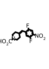 O=C(O)N1CCC(=Cc2cc(F)c([N+](=O)[O-])cc2F)CC1